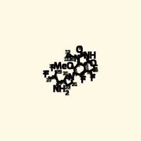 COC1c2c(c(=O)[nH]c(=O)n2C2CC2)C(C(F)F)=C(F)C1N1CCC(C(N)C(CF)CF)C1